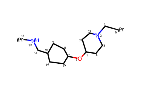 CC(C)CN1CCC(OC2CCC(CNC(C)C)CC2)CC1